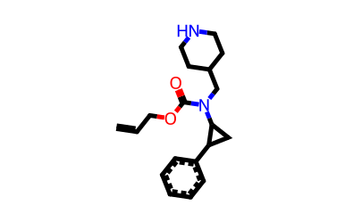 C=CCOC(=O)N(CC1CCNCC1)C1CC1c1ccccc1